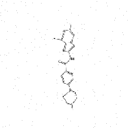 Cc1cn2cc(NC(=O)c3ccc(N4CCN(C)CC4)cn3)nc2c(C)n1